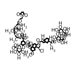 COc1ccc2c(OS(=O)(=O)Oc3cc(C(=O)N(C)CC(C)(C)COCC(C)(C)CN(N)/C=C(\N)COCCN4C(=O)C=CC4=O)ccc3O[C@@H]3O[C@H](C(=O)O)[C@@H](O)[C@H](O)[C@H]3O)cc3c(c2c1)[C@H](CCl)CN3C(=O)c1cc2cc(/C(C)=N/O[C@@H]3OC(C(=O)O)[C@@H](O)[C@H](OC4OC(C(=O)O)[C@@H](O)[C@H](O)[C@H]4O)[C@H]3O)ccc2[nH]1